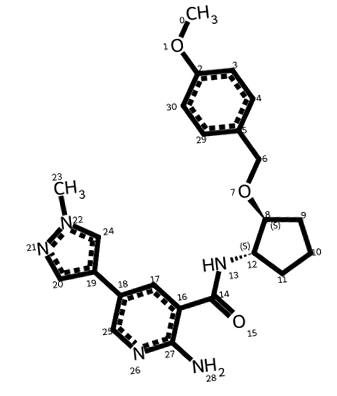 COc1ccc(CO[C@H]2CCC[C@@H]2NC(=O)c2cc(-c3cnn(C)c3)cnc2N)cc1